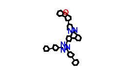 c1ccc(-c2ccc(-c3nc(-c4ccc(-c5ccccc5)cc4)nc(-c4ccc5c(c4)c4ccccc4c4nc6cc(-c7ccc8oc9ccccc9c8c7)ccn6c54)n3)cc2)cc1